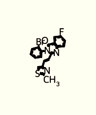 Cc1nc(/C=C/c2nc3ccc(F)cc3c(=O)n2-c2ccccc2Br)cs1